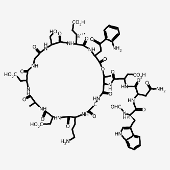 CC1NC(=O)C(CC(=O)O)NC(=O)C(CCCN)NC(=O)CNC(=O)C(NC(=O)C(CC(=O)O)NC(=O)C(CC(N)=O)NC(=O)[C@@H](Cc2c[nH]c3ccccc23)NC=O)C(C)OC(=O)C(CC(=O)c2ccccc2N)NC(=O)C([C@@H](C)CC(=O)O)NC(=O)C(CO)NC(=O)CNC(=O)C(CC(=O)O)NC1=O